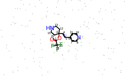 O=C(OC1(/C=C/c2ccncc2)CCNCC1)C(F)(F)F